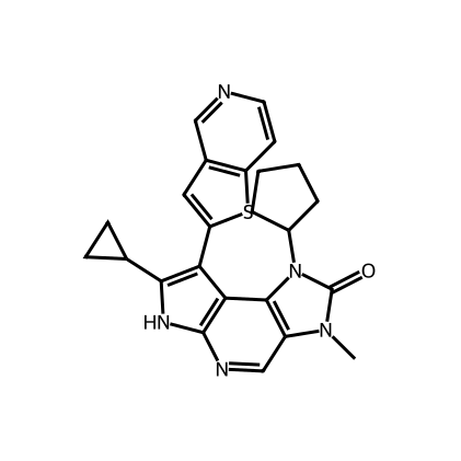 Cn1c(=O)n(C2CCCC2)c2c3c(-c4cc5cnccc5s4)c(C4CC4)[nH]c3ncc21